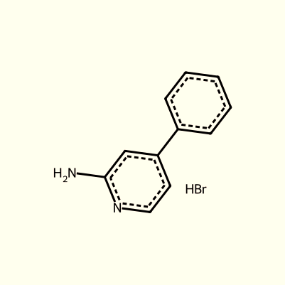 Br.Nc1cc(-c2ccccc2)ccn1